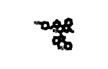 CC(c1oc(=O)c2ccccc2c1-c1cccc(CN2CCN(C)CC2)c1)n1nc(-c2cccnc2)c2c(N)ncnc21